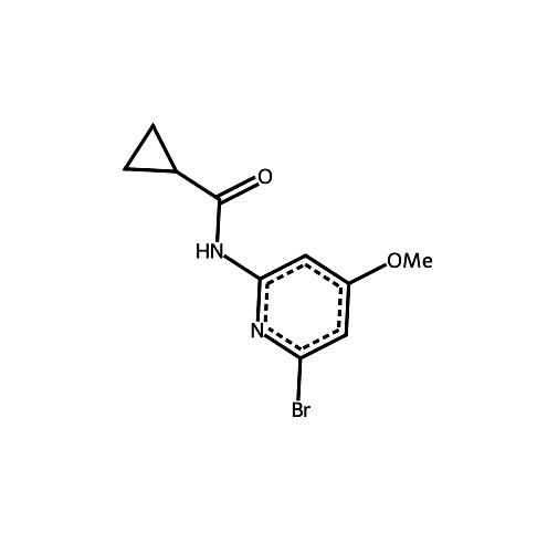 COc1cc(Br)nc(NC(=O)C2CC2)c1